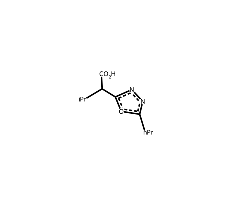 CCCc1nnc(C(C(=O)O)C(C)C)o1